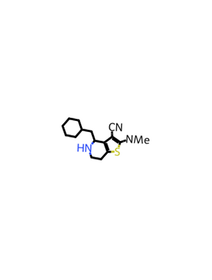 CNc1sc2c(c1C#N)C(CC1CCCCC1)NCC2